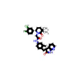 CC1(C)CC[C@@H](c2ccc(F)c(Cl)c2)N(CC(=O)Nc2ccc3c(c2)C[C@@]2(C3)C(=O)Nc3ncccc32)C1=O